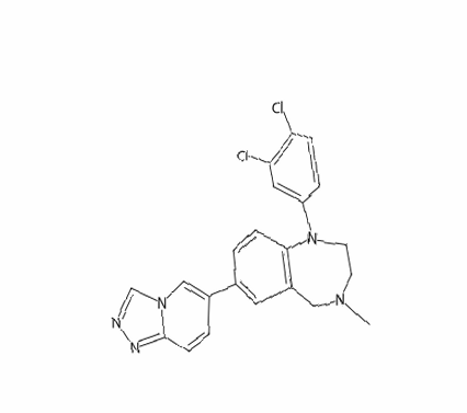 CN1CCN(c2ccc(Cl)c(Cl)c2)c2ccc(-c3ccc4nncn4c3)cc2C1